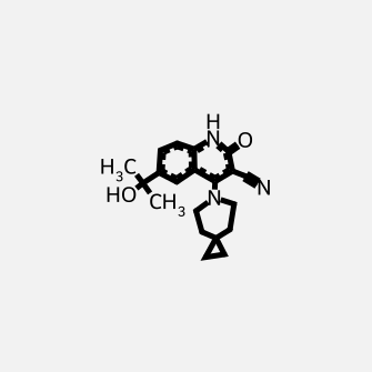 CC(C)(O)c1ccc2[nH]c(=O)c(C#N)c(N3CCC4(CC3)CC4)c2c1